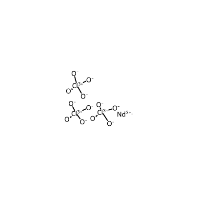 [Nd+3].[O-][Cl+3]([O-])([O-])[O-].[O-][Cl+3]([O-])([O-])[O-].[O-][Cl+3]([O-])([O-])[O-]